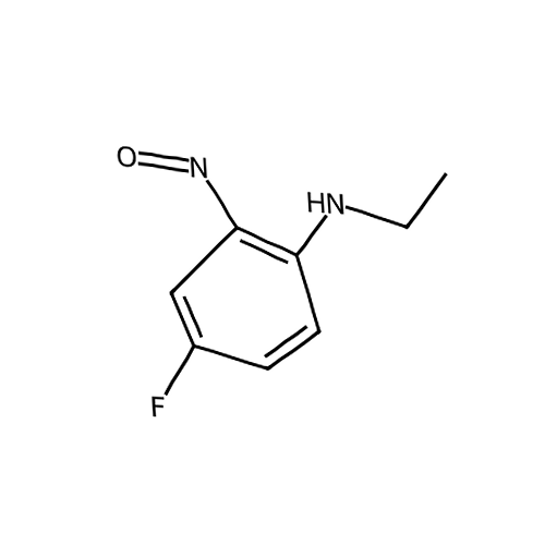 CCNc1ccc(F)cc1N=O